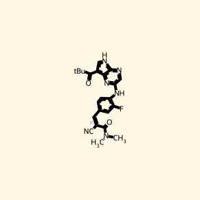 CN(C)C(=O)/C(C#N)=C\c1ccc(Nc2cnc3[nH]cc(C(=O)C(C)(C)C)c3n2)c(F)c1